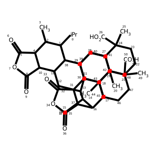 CC(C)C1C(C)C2C(=O)OC(=O)C2C(CC2C(C(C)C)C3CC4C5(C)CCCC(C)(C(=O)O)C5CCC24C2C(=O)OC(=O)C32)C1C1CCC2C(C)(CCCC2(C)C(=O)O)C1